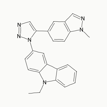 CCn1c2ccccc2c2cc(-n3nncc3-c3ccc4c(cnn4C)c3)ccc21